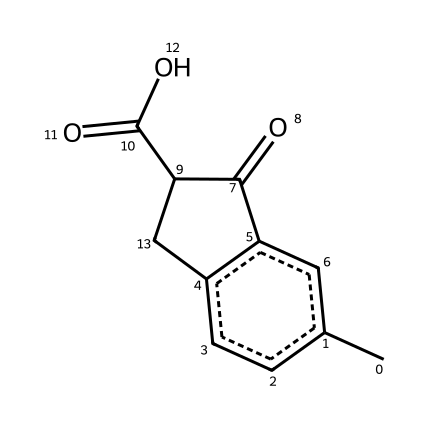 Cc1ccc2c(c1)C(=O)C(C(=O)O)C2